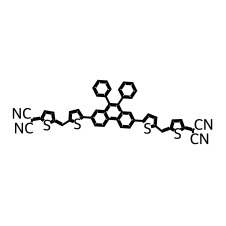 N#CC(C#N)=c1cc/c(=C\c2ccc(-c3ccc4c(c3)c(-c3ccccc3)c(-c3ccccc3)c3cc(-c5ccc(/C=c6\ccc(=C(C#N)C#N)s6)s5)ccc34)s2)s1